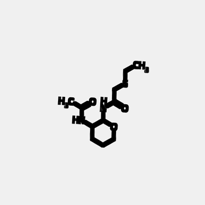 CCSCC(=O)NC1OCCCC1NC(C)=O